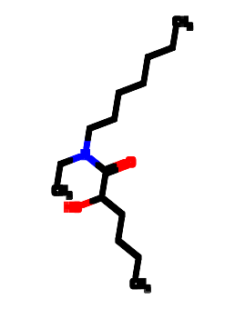 CCCCCCCN(CC)C(=O)C(O)CCCC